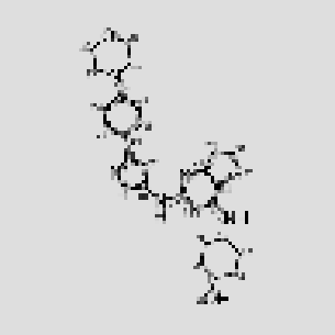 O[C@H]1CC[C@H](Nc2nc(Nc3cnn(-c4ccc(N5CCOCC5)cc4)c3)nc3ccsc23)CC1